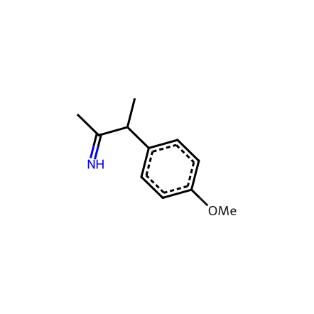 COc1ccc(C(C)C(C)=N)cc1